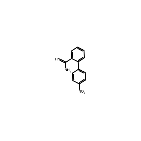 N=C(N)c1ccccc1-c1ccc([N+](=O)[O-])cc1